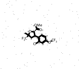 COC(=O)[C@@H]1OC(C)(C(F)(F)F)CC1c1ccc(OC(F)(F)F)cc1Cl